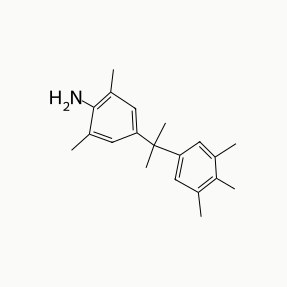 Cc1cc(C(C)(C)c2cc(C)c(N)c(C)c2)cc(C)c1C